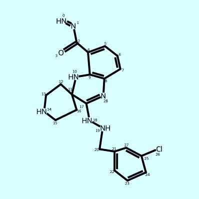 N=NC(=O)c1cccc2c1NC1(CCNCC1)C(NNCc1cccc(Cl)c1)=N2